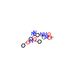 Cn1nc(-c2ccc(OCc3ccccc3)nc2OCc2ccccc2)c2ccc(N[C@@H]3CCCN(C(=O)OC(C)(C)C)C3)cc21